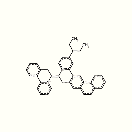 CCC(CC)c1cc[n+]2c(c1)-c1cc3c(ccc4ccccc43)cc1C/C2=C1/Cc2ccccc2-c2cccc[n+]21